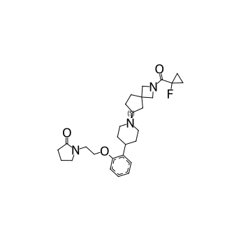 O=C1CCCN1CCOc1ccccc1C1CCN([C@H]2CCC3(C2)CN(C(=O)C2(F)CC2)C3)CC1